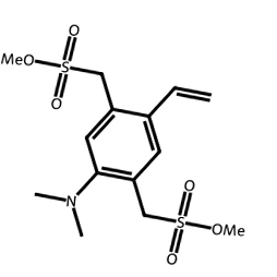 C=Cc1cc(CS(=O)(=O)OC)c(N(C)C)cc1CS(=O)(=O)OC